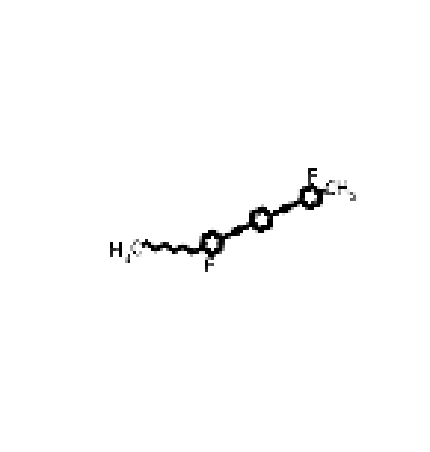 CCCCCCCc1ccc(C#Cc2ccc(C#Cc3ccc(C)c(F)c3)cc2)cc1F